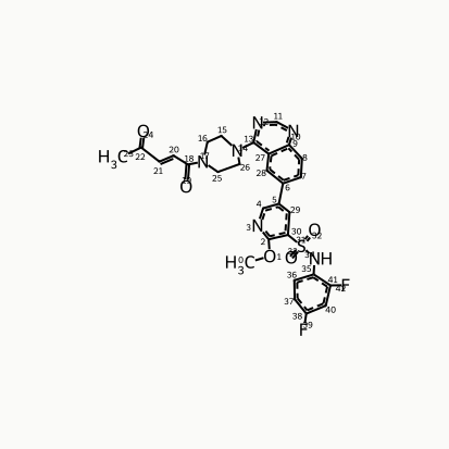 COc1ncc(-c2ccc3ncnc(N4CCN(C(=O)/C=C/C(C)=O)CC4)c3c2)cc1S(=O)(=O)Nc1ccc(F)cc1F